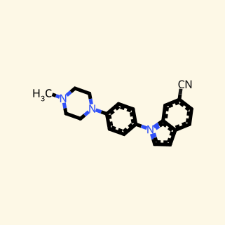 CN1CCN(c2ccc(-n3ccc4ccc(C#N)cc43)cc2)CC1